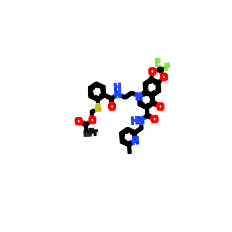 CCCC(=O)OCSc1ccccc1C(=O)NCCn1cc(C(=O)NCc2cccc(C)n2)c(=O)c2cc3c(cc21)OC(F)(F)O3